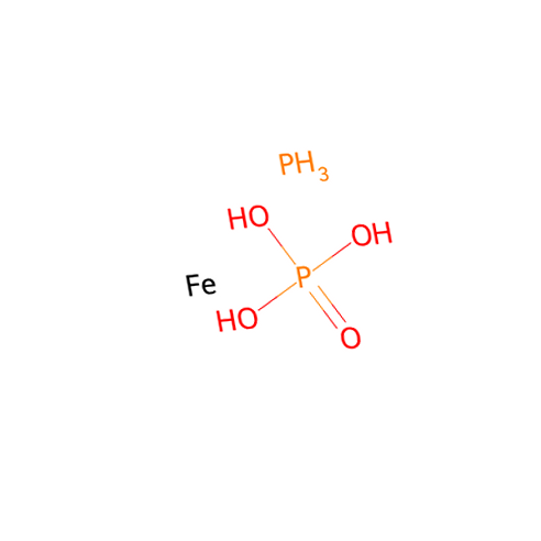 O=P(O)(O)O.P.[Fe]